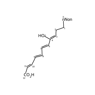 CCCCCCCCCCCC=C(O)C=CC=CC=CC(=O)O